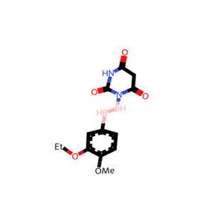 CCOc1cc(BBN2C(=O)CC(=O)NC2=O)ccc1OC